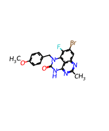 COc1ccc(CN2C(=O)Nc3nc(C)nc4cc(Br)c(F)c2c34)cc1